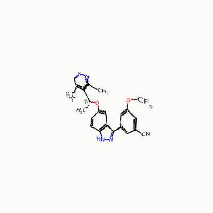 Cc1cnnc(C)c1[C@@H](C)Oc1ccc2[nH]nc(-c3cc(C#N)cc(OC(F)(F)F)c3)c2c1